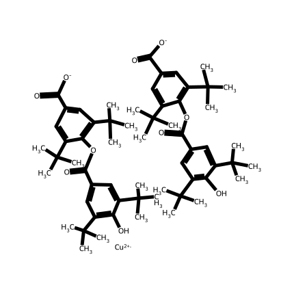 CC(C)(C)c1cc(C(=O)Oc2c(C(C)(C)C)cc(C(=O)[O-])cc2C(C)(C)C)cc(C(C)(C)C)c1O.CC(C)(C)c1cc(C(=O)Oc2c(C(C)(C)C)cc(C(=O)[O-])cc2C(C)(C)C)cc(C(C)(C)C)c1O.[Cu+2]